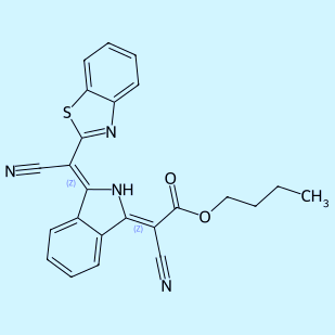 CCCCOC(=O)/C(C#N)=c1\[nH]/c(=C(/C#N)c2nc3ccccc3s2)c2ccccc12